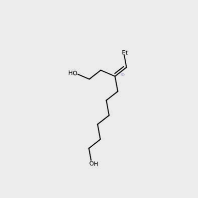 CC/C=C(\CCO)CCCCCCO